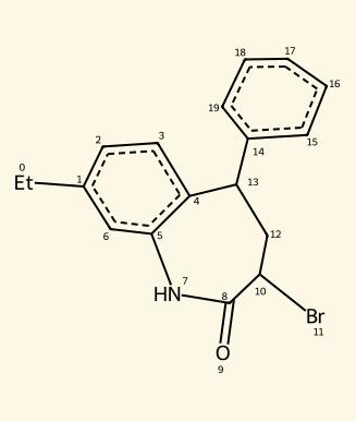 CCc1ccc2c(c1)NC(=O)C(Br)CC2c1ccccc1